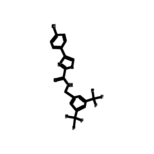 O=C(NCc1cc(C(F)(F)F)cc(C(F)(F)F)c1)c1nc(-c2ccc(Cl)cc2)cs1